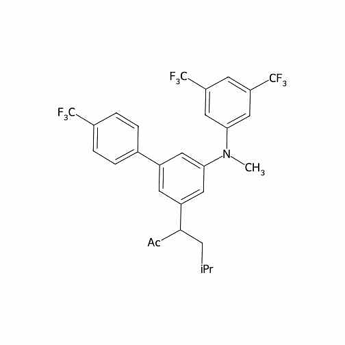 CC(=O)C(CC(C)C)c1cc(-c2ccc(C(F)(F)F)cc2)cc(N(C)c2cc(C(F)(F)F)cc(C(F)(F)F)c2)c1